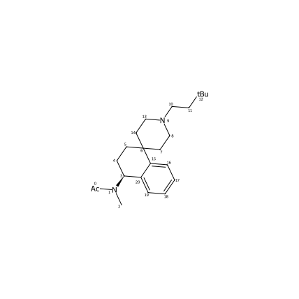 CC(=O)N(C)[C@H]1CCC2(CCN(CCC(C)(C)C)CC2)c2ccccc21